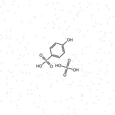 O=S(=O)(O)O.O=S(=O)(O)c1ccc(O)cc1